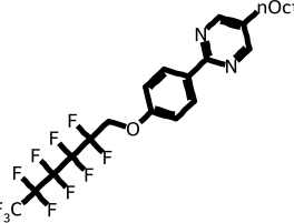 CCCCCCCCc1cnc(-c2ccc(OCC(F)(F)C(F)(F)C(F)(F)C(F)(F)C(F)(F)F)cc2)nc1